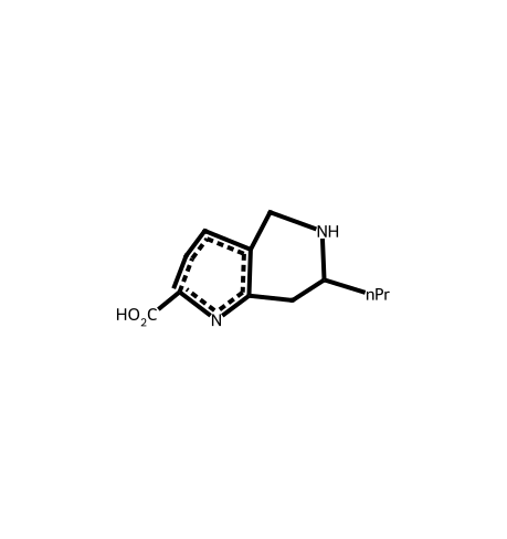 CCCC1Cc2nc(C(=O)O)ccc2CN1